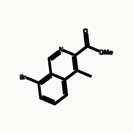 COC(=O)c1ncc2c(Br)cccc2c1C